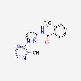 N#Cc1nccnc1-n1ccc(NC(=O)c2ccccc2C(F)(F)F)n1